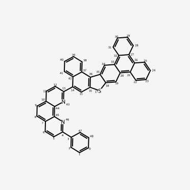 c1ccc(-c2ccc3ccc4ccc(-c5cc6sc7cc8c9ccccc9c9ccccc9c8cc7c6c6ccccc56)nc4c3n2)cc1